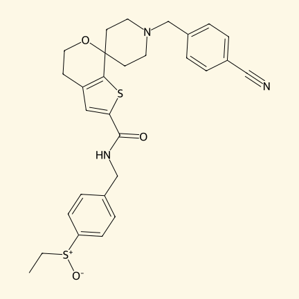 CC[S+]([O-])c1ccc(CNC(=O)c2cc3c(s2)C2(CCN(Cc4ccc(C#N)cc4)CC2)OCC3)cc1